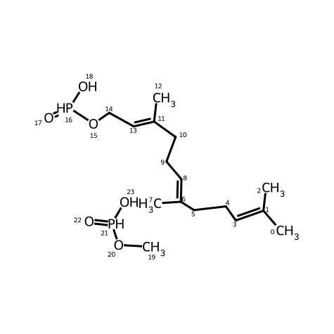 CC(C)=CCCC(C)=CCCC(C)=CCO[PH](=O)O.CO[PH](=O)O